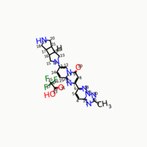 Cc1nc2ccc(-c3cc(=O)n4cc(N5CC6C7CNCC7[C@H]6C5)ccc4n3)nn2n1.O=C(O)C(F)(F)F